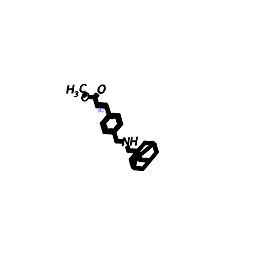 COC(=O)/C=C/c1ccc(CNCC23CC4CC(CC(C4)C2)C3)cc1